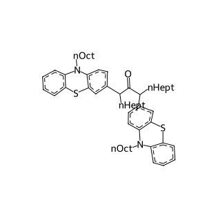 CCCCCCCCN1c2ccccc2Sc2cc(C(CCCCCCC)C(=O)C(CCCCCCC)c3ccc4c(c3)Sc3ccccc3N4CCCCCCCC)ccc21